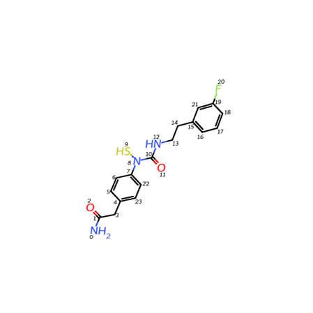 NC(=O)Cc1ccc(N(S)C(=O)NCCc2cccc(F)c2)cc1